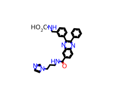 O=C(O)NCc1cccc(-c2nc3cc(C(=O)NCCCn4ccnc4)ccc3nc2-c2ccccc2)c1